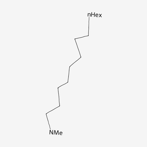 [CH2]CCCCCCCCCCCCCNC